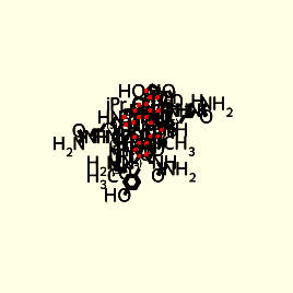 CC(C)C[C@H](NC(=O)[C@H](CCCNC(N)=O)NC(=O)[C@@H](NC(=O)[C@H](C)NC(=O)[C@H](CO)NC(=O)[C@H](CO)NC(=O)[C@H](CCCNC(N)=O)NC(=O)[C@@H](NC(=O)[C@@H](NC(=O)[C@H](Cc1ccc(O)cc1)NC(=O)[C@H](C)N)C(C)C)[C@@H](C)O)C(C)C)C(=O)N[C@@H](CCCNC(N)=O)C(=O)N[C@@H](CO)C(=O)N[C@@H](CO)C(=O)N[C@H](C(=O)N1CCC[C@H]1C(=O)O)C(C)C